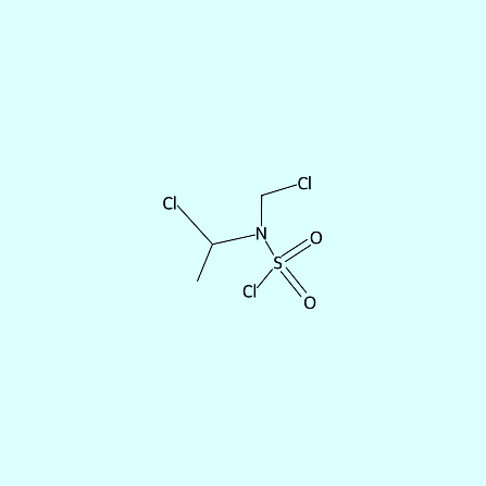 CC(Cl)N(CCl)S(=O)(=O)Cl